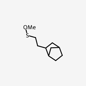 COSCCC1CC2CCC1C2